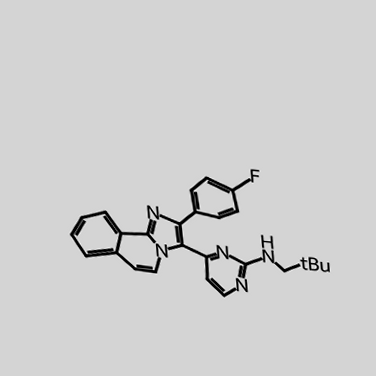 CC(C)(C)CNc1nccc(-c2c(-c3ccc(F)cc3)nc3c4ccccc4ccn23)n1